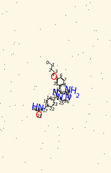 CCCCOc1cccc(-c2nc([C@H]3CC[C@H](CNC(C)=O)CC3)n3ccnc(N)c23)c1